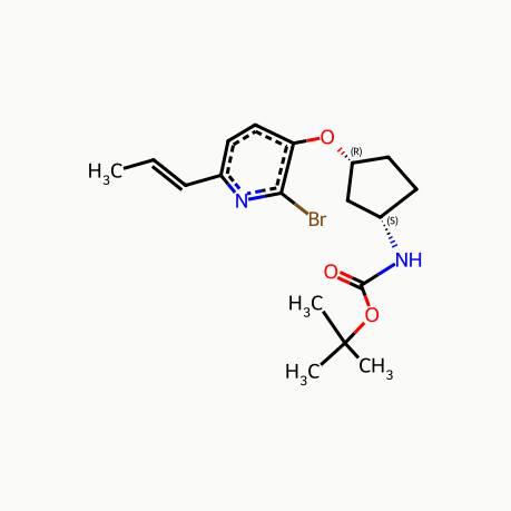 CC=Cc1ccc(O[C@@H]2CC[C@H](NC(=O)OC(C)(C)C)C2)c(Br)n1